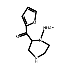 CC(=O)NN1CCNCC1C(=O)c1ccco1